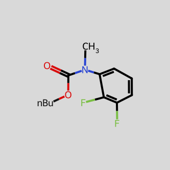 [CH2]CCCOC(=O)N(C)c1cccc(F)c1F